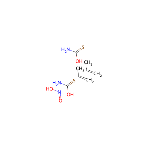 C=CC.C=CC.NC(O)=S.NC(O)=S.O=NO